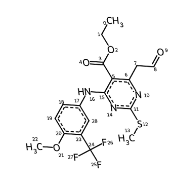 CCOC(=O)c1c(CC=O)nc(SC)nc1Nc1ccc(OC)c(C(F)(F)F)c1